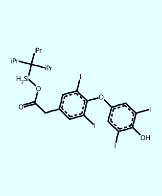 CC(C)C([SiH2]OC(=O)Cc1cc(I)c(Oc2cc(I)c(O)c(I)c2)c(I)c1)(C(C)C)C(C)C